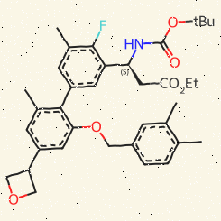 CCOC(=O)C[C@H](NC(=O)OC(C)(C)C)c1cc(-c2c(C)cc(C3COC3)cc2OCc2ccc(C)c(C)c2)cc(C)c1F